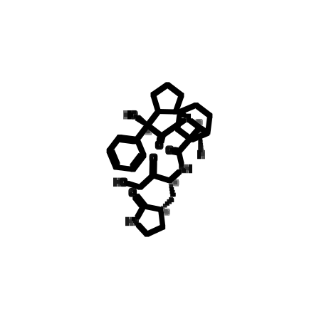 O=C1NCC[C@H]1C[C@@H](NC(=O)[C@@H]1C2CCC(CC2)N1C(=O)[C@](O)(c1ccccc1)C1CCCC1)C(=O)CO